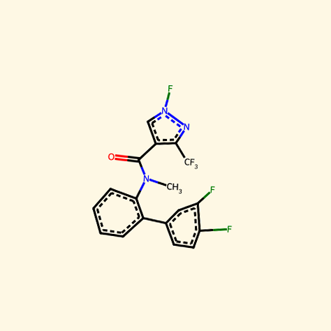 CN(C(=O)c1cn(F)nc1C(F)(F)F)c1ccccc1-c1ccc(F)c(F)c1